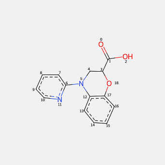 O=C(O)C1CN(c2ccccn2)c2ccccc2O1